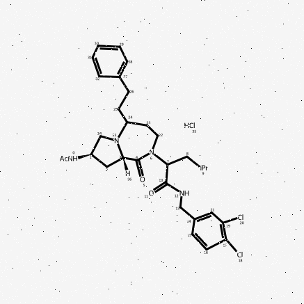 CC(=O)N[C@@H]1C[C@H]2C(=O)N(C(CC(C)C)C(=O)NCc3ccc(Cl)c(Cl)c3)CCC(CCc3ccccc3)N2C1.Cl